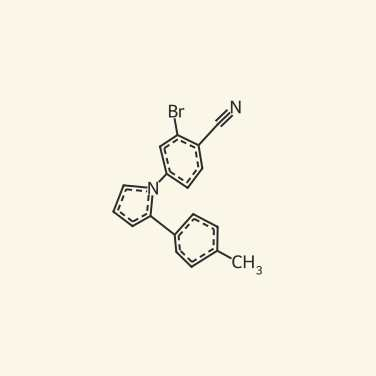 Cc1ccc(-c2cccn2-c2ccc(C#N)c(Br)c2)cc1